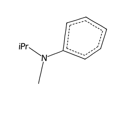 CC(C)N(C)c1ccccc1